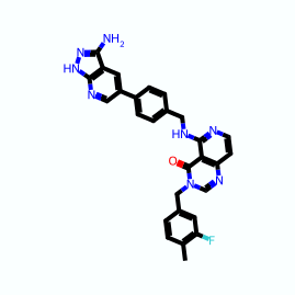 Cc1ccc(Cn2cnc3ccnc(NCc4ccc(-c5cnc6[nH]nc(N)c6c5)cc4)c3c2=O)cc1F